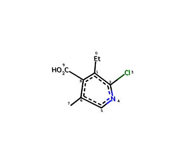 CCc1c(Cl)ncc(C)c1C(=O)O